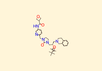 CC(C)(C)[Si](C)(C)O[C@H](CN1CCc2ccccc2C1)CN1CCN(Cc2ccc(NC(=O)C3COC3)cn2)C1=O